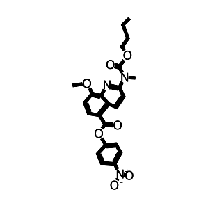 CCCCOC(=O)N(C)c1ccc2c(C(=O)Oc3ccc([N+](=O)[O-])cc3)ccc(OC)c2n1